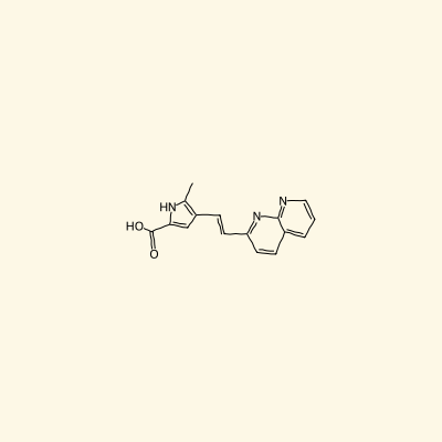 Cc1[nH]c(C(=O)O)cc1C=Cc1ccc2cccnc2n1